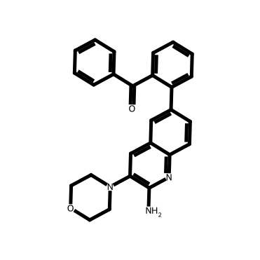 Nc1nc2ccc(-c3ccccc3C(=O)c3ccccc3)cc2cc1N1CCOCC1